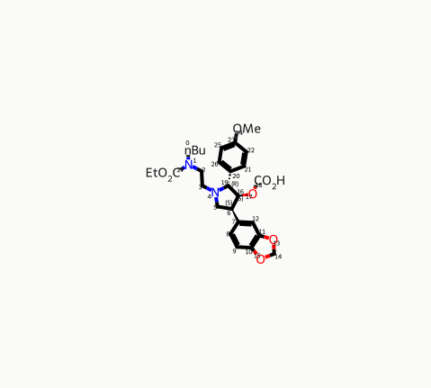 CCCCN(CCN1C[C@H](c2ccc3c(c2)OCO3)[C@H](OC(=O)O)[C@H]1c1ccc(OC)cc1)C(=O)OCC